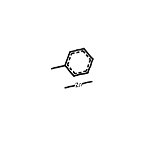 Cc1ccccc1.[CH3][Zn][CH3]